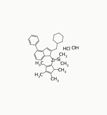 CC1=C(C)C(C)[C]([Zr]([CH]2C(CC3CCCCC3)=Cc3c(-c4ccccc4)cccc32)=[Si](C)C)=C1C.Cl.Cl